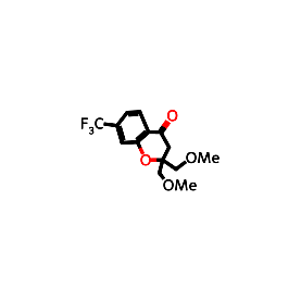 COCC1(COC)CC(=O)c2ccc(C(F)(F)F)cc2O1